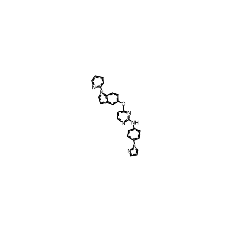 c1ccc(-n2ccc3cc(Oc4ccnc(Nc5ccc(-n6cccn6)cc5)n4)ccc32)nc1